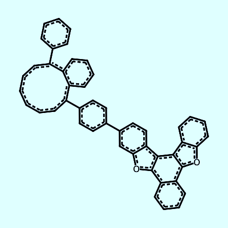 c1ccc(-c2ccccccc(-c3ccc(-c4ccc5c(c4)oc4c6ccccc6c6oc7ccccc7c6c54)cc3)c3ccccc23)cc1